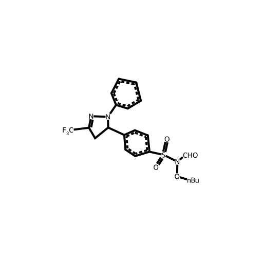 CCCCON(C=O)S(=O)(=O)c1ccc(C2CC(C(F)(F)F)=NN2c2ccccc2)cc1